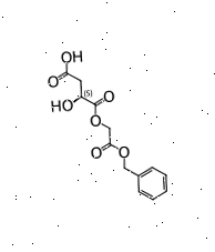 O=C(O)C[C@H](O)C(=O)OCC(=O)OCc1ccccc1